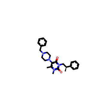 Cc1c(N2CCN(Cc3ccccc3)CC2)c(=O)n(C[C@H](C)c2ccccc2)c(=O)n1C